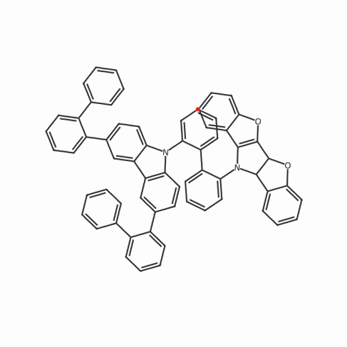 c1ccc(-c2ccccc2-c2ccc3c(c2)c2cc(-c4ccccc4-c4ccccc4)ccc2n3-c2ccccc2-c2ccccc2N2c3c(oc4ccccc34)C3Oc4ccccc4C32)cc1